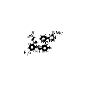 CNc1ncnc(-c2cccnc2Oc2cc(C(=O)Nc3cc(C(F)(F)F)ccc3N(C)CCN(C)C)ccc2F)n1